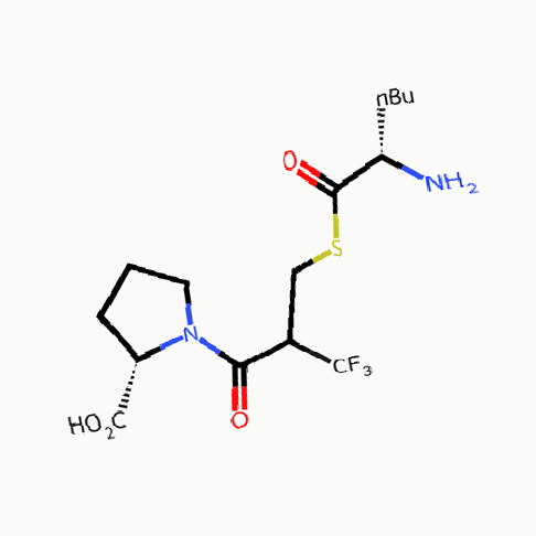 CCCC[C@H](N)C(=O)SCC(C(=O)N1CCC[C@H]1C(=O)O)C(F)(F)F